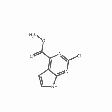 COC(=O)c1nc(Cl)nc2[nH]ccc12